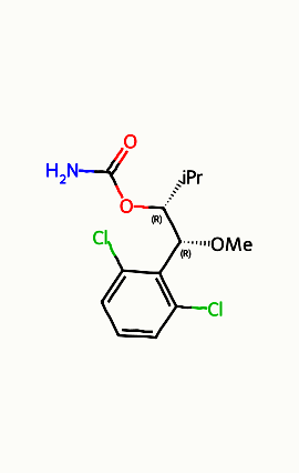 CO[C@H](c1c(Cl)cccc1Cl)[C@H](OC(N)=O)C(C)C